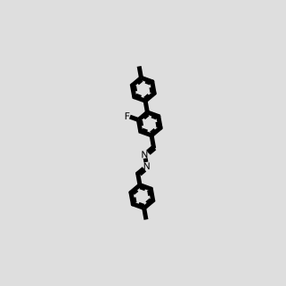 Cc1ccc(C=NN=Cc2ccc(-c3ccc(C)cc3)c(F)c2)cc1